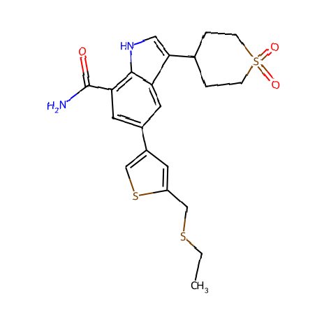 CCSCc1cc(-c2cc(C(N)=O)c3[nH]cc(C4CCS(=O)(=O)CC4)c3c2)cs1